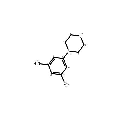 Nc1cc(N2CCSCC2)cc(C(F)(F)F)c1